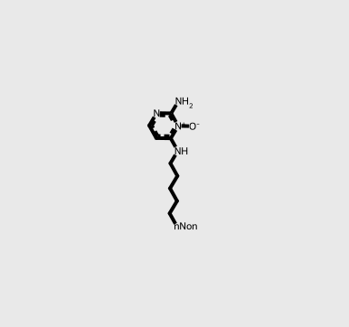 CCCCCCCCCCCCCCNc1ccnc(N)[n+]1[O-]